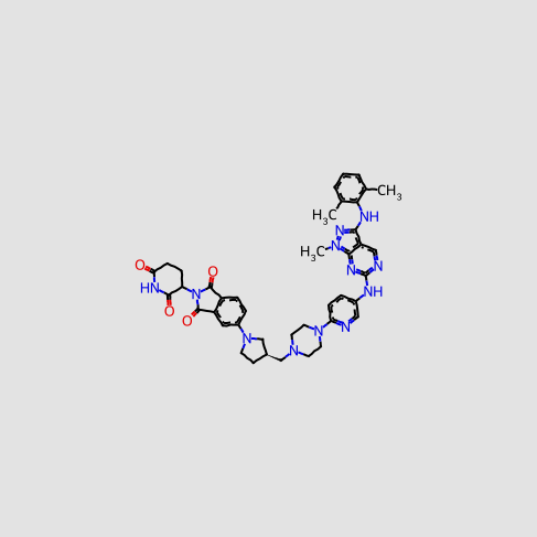 Cc1cccc(C)c1Nc1nn(C)c2nc(Nc3ccc(N4CCN(C[C@H]5CCN(c6ccc7c(c6)C(=O)N(C6CCC(=O)NC6=O)C7=O)C5)CC4)nc3)ncc12